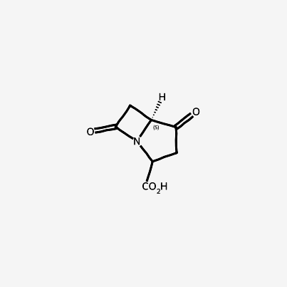 O=C(O)C1CC(=O)[C@@H]2CC(=O)N12